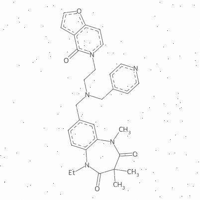 CCN1C(=O)C(C)(C)C(=O)N(C)c2cc(CN(CCn3ccc4occc4c3=O)Cc3ccncc3)ccc21